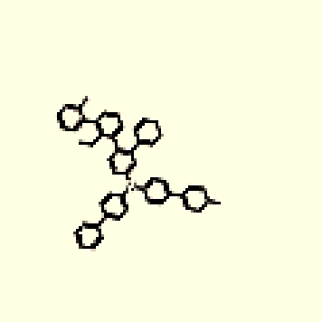 CCc1c(-c2ccccc2C)cccc1-c1ccc(N(c2ccc(C3=CCC(C)C=C3)cc2)c2ccc(-c3ccccc3)cc2)cc1C1=CCCC=C1